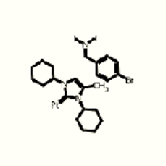 Brc1ccc(CN(I)I)cc1.Cc1cn(C2CCCCC2)[c](=[Pt])n1C1CCCCC1